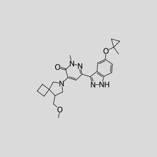 COCC1CN(c2cc(-c3n[nH]c4ccc(OC5(C)CC5)cc34)nn(C)c2=O)CC12CCC2